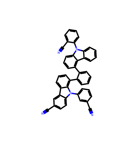 N#Cc1cccc(-n2c3ccc(C#N)cc3c3cccc(-c4ccccc4-c4cccc5c4c4ccccc4n5-c4ccccc4C#N)c32)c1